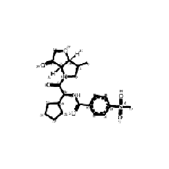 CC1CN(C(=O)C(NC(=O)c2ccc(S(C)(=O)=O)cc2)C2CCCC2)[C@@H]2C(=O)CO[C@H]12